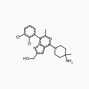 Cc1nc(N2CCC(C)(N)CC2)c2cc(CO)nn2c1-c1cccc(Cl)c1Cl